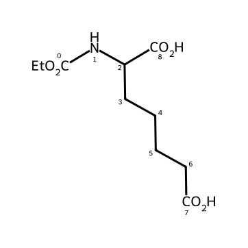 CCOC(=O)NC(CCCCC(=O)O)C(=O)O